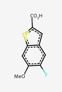 COc1cc2sc(C(=O)O)cc2cc1F